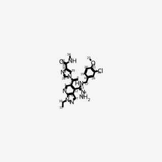 C=C(c1cnc2c(cnn2CC)c1/C(=N\N)NCc1ccc(OC)c(Cl)c1)n1cnc(C(=O)NC)c1